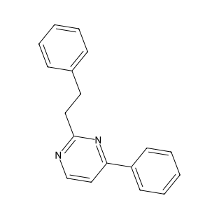 c1ccc(CCc2nccc(-c3ccccc3)n2)cc1